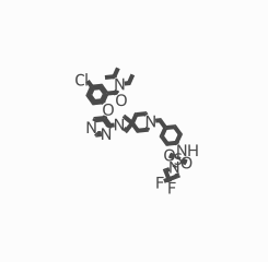 CCN(C(=O)c1cc(Cl)ccc1Oc1cncnc1N1CC2(CCN(CC3CCC(NS(=O)(=O)N4CC(F)(F)C4)CC3)CC2)C1)C(C)C